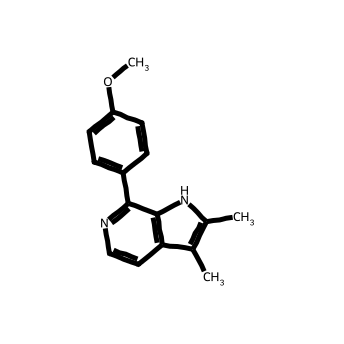 COc1ccc(-c2nccc3c(C)c(C)[nH]c23)cc1